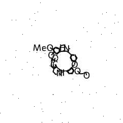 COc1cc2c3c4c1Oc1cc5c(cc1O4)[C@H](Cc1ccc(OCC4CO4)c(c1)Oc1ccc(cc1)C[C@@H]3N(C)CC2)N(C)CC5